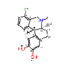 CN1Cc2c(F)cccc2[C@H]2c3cc(O)c(O)cc3CC[C@@H]21